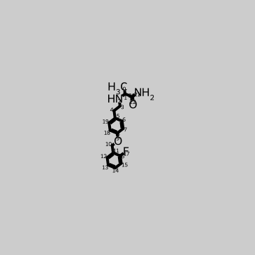 CC(NCCc1ccc(OCc2ccccc2F)cc1)C(N)=O